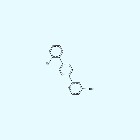 CC(C)(C)c1ccnc(-c2ccc(-c3ccccc3Br)cc2)c1